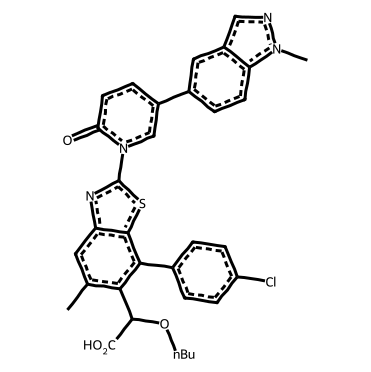 CCCCOC(C(=O)O)c1c(C)cc2nc(-n3cc(-c4ccc5c(cnn5C)c4)ccc3=O)sc2c1-c1ccc(Cl)cc1